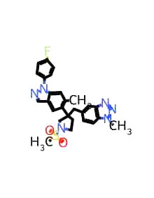 Cc1cc2c(cnn2-c2ccc(F)cc2)cc1C1(Cc2ccc3c(c2)nnn3C)CCN(S(C)(=O)=O)C1